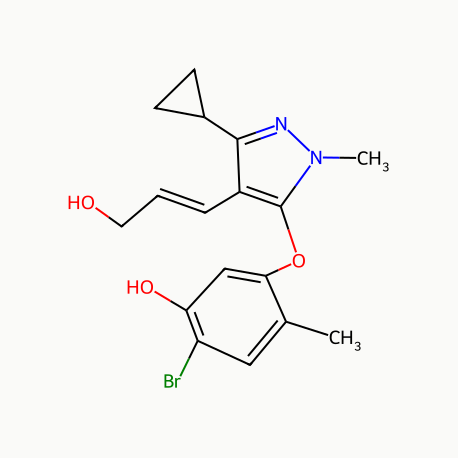 Cc1cc(Br)c(O)cc1Oc1c(C=CCO)c(C2CC2)nn1C